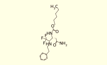 CCCCCCOC(=O)N[C@H](CC(N)=O)C(NCCc1ccccc1)C(F)(F)F